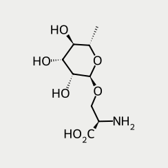 C[C@@H]1O[C@@H](OC[C@@H](N)C(=O)O)[C@H](O)[C@H](O)[C@H]1O